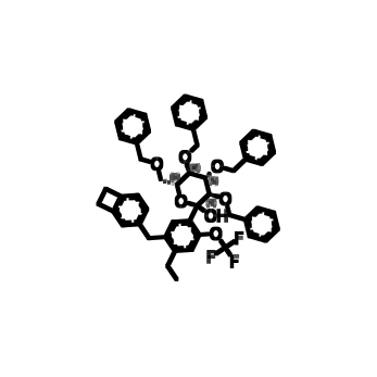 CCc1cc(OC(F)(F)F)c(C2(O)O[C@H](COCc3ccccc3)[C@@H](OCc3ccccc3)[C@H](OCc3ccccc3)[C@H]2OCc2ccccc2)cc1Cc1ccc2c(c1)CC2